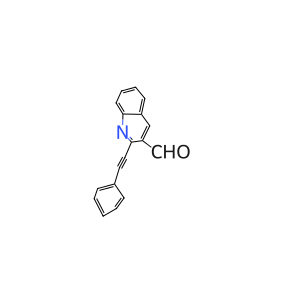 O=Cc1cc2ccccc2nc1C#Cc1ccccc1